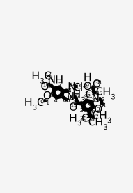 CCOc1cc2c(cc1C(=O)NC)/C(=N/Cl)N(CC(=O)c1cc3c(c(C(C)(C)C)c1)OCCN3C(C)(C)C(=O)O)C2